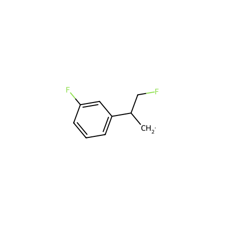 [CH2]C(CF)c1cccc(F)c1